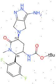 CN1C(=O)[C@@H](N2Cc3n[nH]c(N)c3C2)CC(NC(=O)OC(C)(C)C)[C@H]1c1cc(F)ccc1F